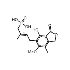 COc1c(C)c2c(c(O)c1C/C=C(\C)CP(=O)(O)O)C(=O)OC2